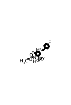 CCOC(=O)Nc1c(F)cc(NCc2ccc(F)cc2)cc1[N+](=O)[O-]